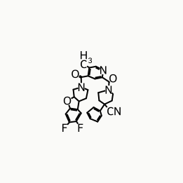 Cc1cnc(C(=O)N2CCC(C#N)(c3ccccc3)CC2)cc1C(=O)N1CCC2c3cc(F)c(F)cc3OC2C1